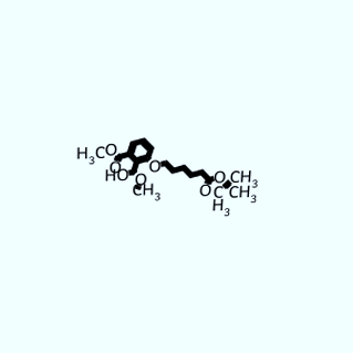 COC(=O)c1cccc(OCCCCCC(=O)OC(C)(C)C)c1C(O)OC